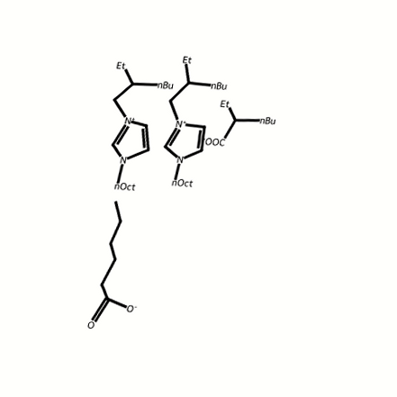 CCCCC(CC)C(=O)[O-].CCCCCC(=O)[O-].CCCCCCCCn1cc[n+](CC(CC)CCCC)c1.CCCCCCCCn1cc[n+](CC(CC)CCCC)c1